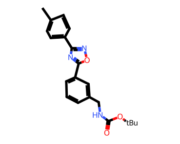 Cc1ccc(-c2noc(-c3cccc(CNC(=O)OC(C)(C)C)c3)n2)cc1